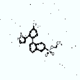 Cn1nccc1-c1cc(C(F)(F)F)ccc1-c1cccc2cc(S(=O)(=O)OCC(F)(F)F)ccc12